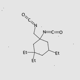 CCC1CC(CC)(CC)CC(CN=C=O)(N=C=O)C1